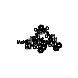 CN[C@@H](C)C(=O)NC(C(=O)N1C[C@@H](NC(=O)CNC(=O)c2cccc(C(=O)NCC(=O)N[C@H]3C[C@@H](C(=O)N[C@@H]4CCCc5ccccc54)N(C(=O)[C@@H](NC(=O)[C@H](C)NC)C(C)(C)C)C3)c2)CC1C(=O)N[C@@H]1CCCc2ccccc21)C(C)(C)C